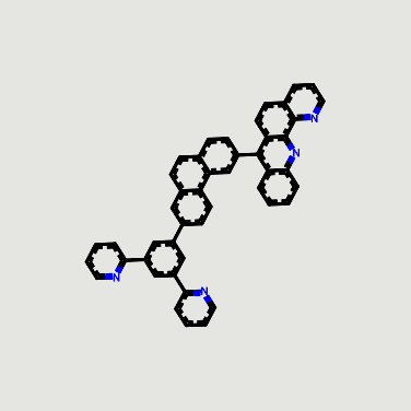 c1ccc(-c2cc(-c3ccc4c(ccc5ccc(-c6c7ccccc7nc7c6ccc6cccnc67)cc54)c3)cc(-c3ccccn3)c2)nc1